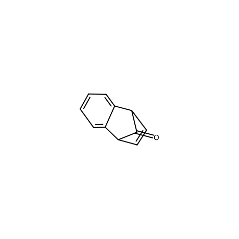 O=C1C2C=CC1c1ccccc12